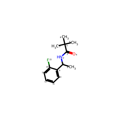 CC(NC(=O)C(C)(C)C)c1ccccc1F